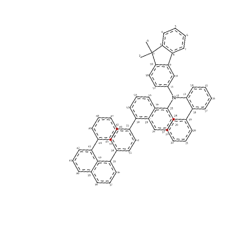 CC1(C)c2ccccc2-c2cc(N(c3ccccc3-c3ccccc3)c3cccc4c(-c5ccc(-c6cccc7cccc(-c8ccccc8)c67)cc5)cccc34)ccc21